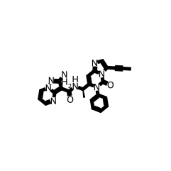 CC#Cc1cnc2cc([C@@H](C)NC(=O)c3c(N)nn4cccnc34)n(-c3ccccc3)c(=O)n12